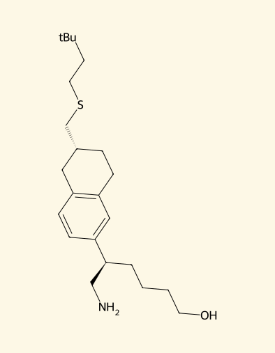 CC(C)(C)CCSC[C@@H]1CCc2cc([C@H](CN)CCCCO)ccc2C1